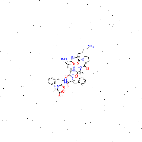 CC(C)C[C@H](NC(=O)[C@H](C)NC(=O)[C@@H]1CCCN1C(=O)[C@H](CCCCN)NC(=O)CN)C(=O)N[C@@H](Cc1ccccc1)C(=O)N[C@@H](Cc1ccccc1)C(=O)N[C@@H](C)C(=O)O